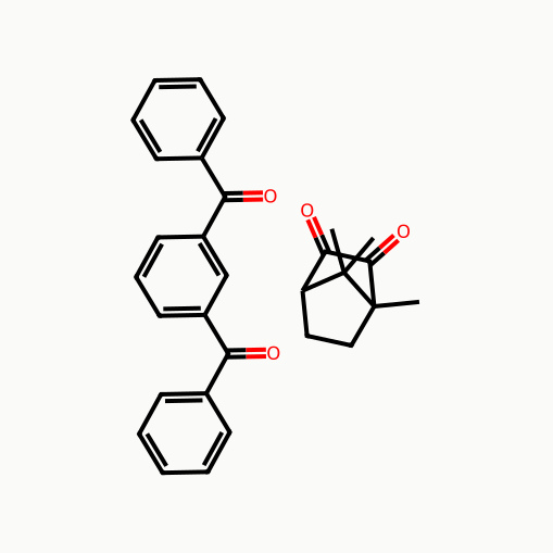 CC12CCC(C(=O)C1=O)C2(C)C.O=C(c1ccccc1)c1cccc(C(=O)c2ccccc2)c1